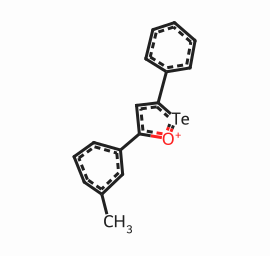 Cc1cccc(-c2cc(-c3ccccc3)[te][o+]2)c1